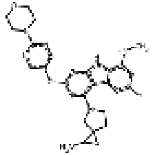 CNc1cc(F)cc2c1[nH]c1nc(Oc3cnc(N4CCOCC4)nc3)nc(N3CCC4(CC4N)C3)c12